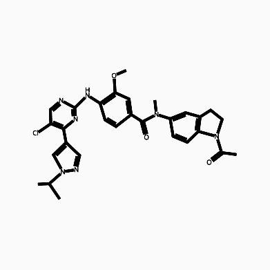 COc1cc(C(=O)N(C)c2ccc3c(c2)CCN3C(C)=O)ccc1Nc1ncc(Cl)c(-c2cnn(C(C)C)c2)n1